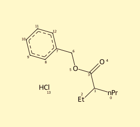 CCCC(CC)C(=O)OCc1ccccc1.Cl